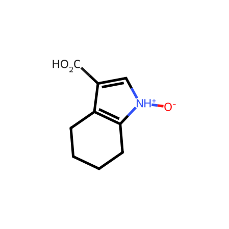 O=C(O)C1=C[NH+]([O-])C2=C1CCCC2